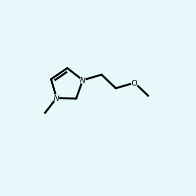 COCCN1C=CN(C)C1